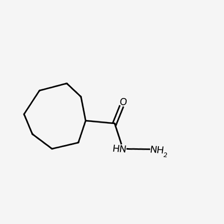 NNC(=O)C1CCCCCCC1